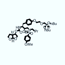 CCCCOP(=O)(COCCOc1ccc(C[C@H](NC(=O)O[C@H]2CO[C@H]3OCC[C@H]32)[C@H](O)CN(CC(C)C)S(=O)(=O)c2ccc(OC)cc2)cc1)OCCCC